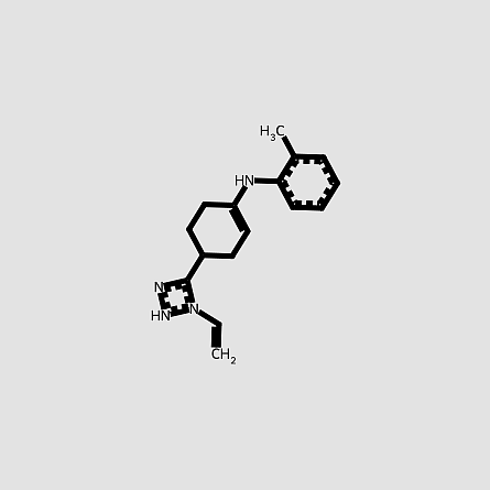 C=Cn1[nH]nc1C1CC=C(Nc2ccccc2C)CC1